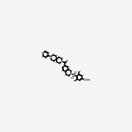 COc1cc(C)c(S(=O)(=O)N2CCc3ccc(C(=O)N4CCC5(CC4)CCN(c4ccncc4)CC5)cc3C2)c(C)c1